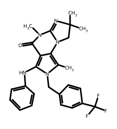 Cc1c2c(c(Nc3ccccc3)n1Cc1ccc(C(F)(F)F)cc1)C(=O)N(C)C1=NC(C)(C)CN12